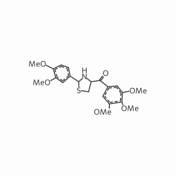 COc1ccc(C2NC(C(=O)c3cc(OC)c(OC)c(OC)c3)CS2)cc1OC